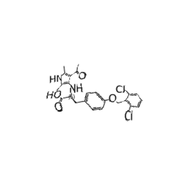 CC(=O)c1c(C)[nH]c(C)c1N[C@@H](Cc1ccc(OCc2c(Cl)cccc2Cl)cc1)C(=O)O